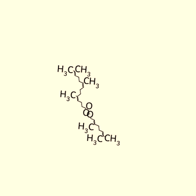 CC(C)=CCCC(C)=CCCC(C)=CCCC(=O)OOC/C=C(\C)CCC=C(C)C